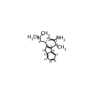 CC(C(N)=S)C1=C(CCN(C)C)Cc2ccccc21